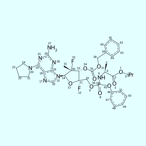 CC(C)OC(=O)[C@H](C)NP(=O)(OC[C@@]1(F)O[C@@H](n2cnc3c(N4CCCC4)nc(N)nc32)[C@](C)(F)[C@@H]1OC(=O)OCc1ccccc1)Oc1ccccc1